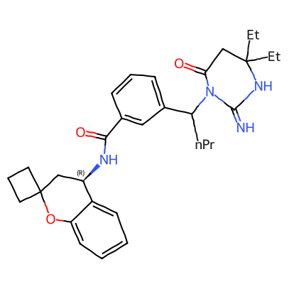 CCCC(c1cccc(C(=O)N[C@@H]2CC3(CCC3)Oc3ccccc32)c1)N1C(=N)NC(CC)(CC)CC1=O